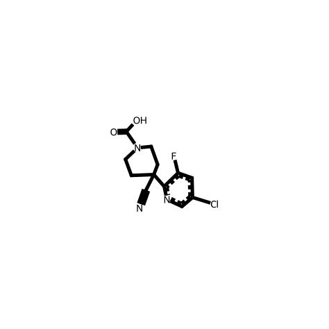 N#CC1(c2ncc(Cl)cc2F)CCN(C(=O)O)CC1